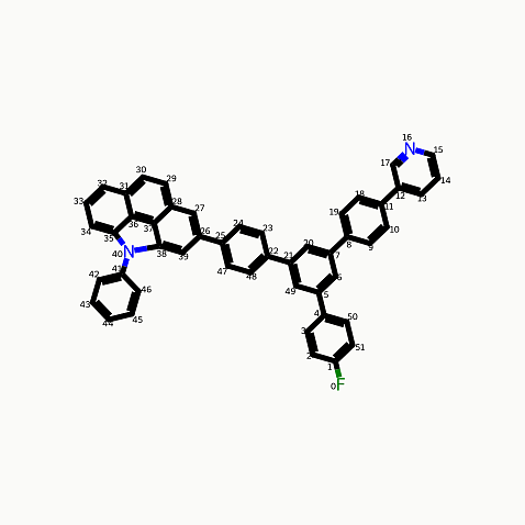 Fc1ccc(-c2cc(-c3ccc(-c4cccnc4)cc3)cc(-c3ccc(-c4cc5ccc6cccc7c6c5c(c4)n7-c4ccccc4)cc3)c2)cc1